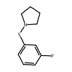 Fc1cccc(SN2CCCC2)c1